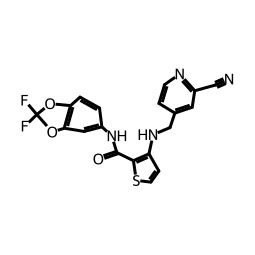 N#Cc1cc(CNc2ccsc2C(=O)Nc2ccc3c(c2)OC(F)(F)O3)ccn1